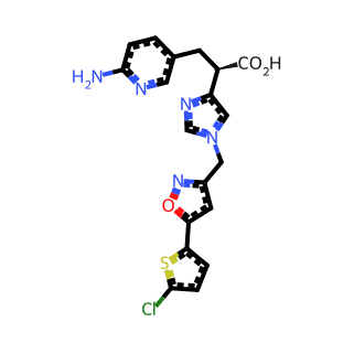 Nc1ccc(C[C@@H](C(=O)O)c2cn(Cc3cc(-c4ccc(Cl)s4)on3)cn2)cn1